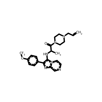 C=CCN1CCN(C(=O)C(C)Nc2c(-c3ccc(OC(F)(F)F)cc3)nc3cnccn23)CC1